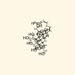 CCCCC/C=C\C/C=C\CCCCC(CC(O)CO)(CC(O)CO)C(CC(O)CO)(CC(O)CO)C(CC(O)CO)(CC(O)CO)C(=O)O